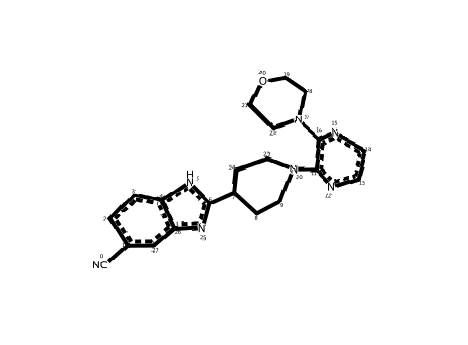 N#Cc1ccc2[nH]c(C3CCN(c4nccnc4N4CCOCC4)CC3)nc2c1